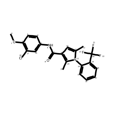 COc1ccc(NC(=O)c2cc(C)n(-c3ccccc3C(F)(F)F)c2C)cc1Cl